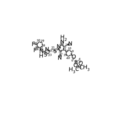 CC1(C)OC[C@@H](COc2ccc(-c3c(C#N)c(N)nc(SCc4csc(Nc5cccc(F)c5F)n4)c3C#N)cc2)O1